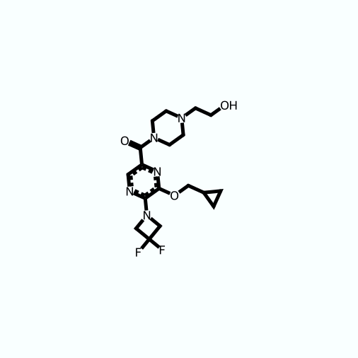 O=C(c1cnc(N2CC(F)(F)C2)c(OCC2CC2)n1)N1CCN(CCO)CC1